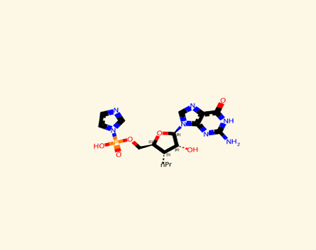 CCC[C@H]1[C@@H](O)[C@H](n2cnc3c(=O)[nH]c(N)nc32)O[C@@H]1COP(=O)(O)n1ccnc1